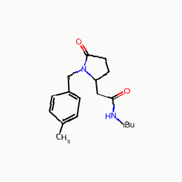 CCC(C)NC(=O)CC1CCC(=O)N1Cc1ccc(C)cc1